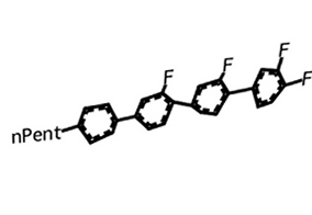 CCCCCc1ccc(-c2ccc(-c3ccc(-c4ccc(F)c(F)c4)c(F)c3)c(F)c2)cc1